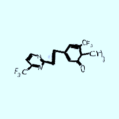 CC1C(=O)C=C(/C=C/c2nccc(C(F)(F)F)n2)C=C1C(F)(F)F